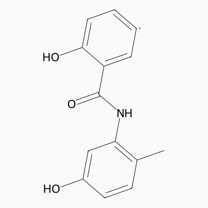 Cc1ccc(O)cc1NC(=O)c1c[c]ccc1O